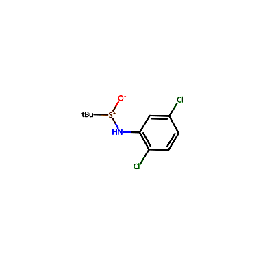 CC(C)(C)[S+]([O-])Nc1cc(Cl)ccc1Cl